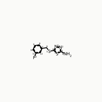 Nc1nnc(SCc2cccc(F)c2)s1